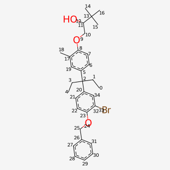 CCC(CC)(c1ccc(OCC(O)C(C)(C)C)c(C)c1)c1ccc(OCc2ccccc2)c(Br)c1